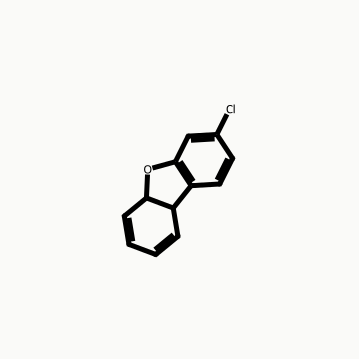 Clc1ccc2c(c1)OC1C=CC=CC21